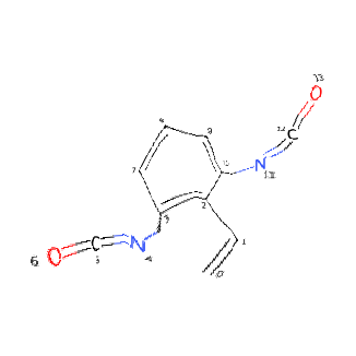 C=Cc1c(N=C=O)cccc1N=C=O